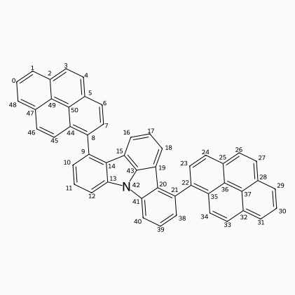 c1cc2ccc3ccc(-c4cccc5c4c4cccc6c7c(-c8ccc9ccc%10cccc%11ccc8c9c%10%11)cccc7n5c46)c4ccc(c1)c2c34